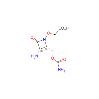 NC(=O)OC[C@@H]1[C@H](N)C(=O)N1OCC(=O)O